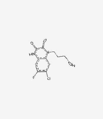 O=c1[nH]c2cc(F)c(Cl)cc2n(CCCO)c1=O